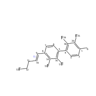 Cc1ccc(-c2ccc(/C=C/CCF)c(F)c2F)c(F)c1F